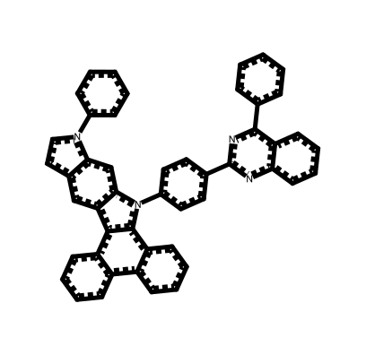 c1ccc(-c2nc(-c3ccc(-n4c5cc6c(ccn6-c6ccccc6)cc5c5c6ccccc6c6ccccc6c54)cc3)nc3ccccc23)cc1